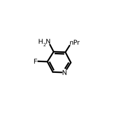 CCCc1cncc(F)c1N